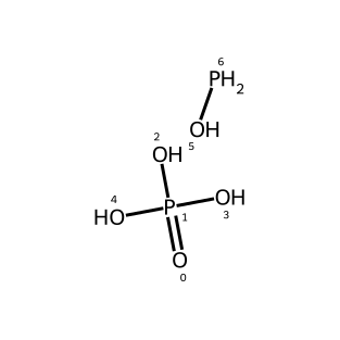 O=P(O)(O)O.OP